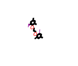 Cc1cc(C)c(OCCCOc2c(C)cc(C)cc2I)c(I)c1